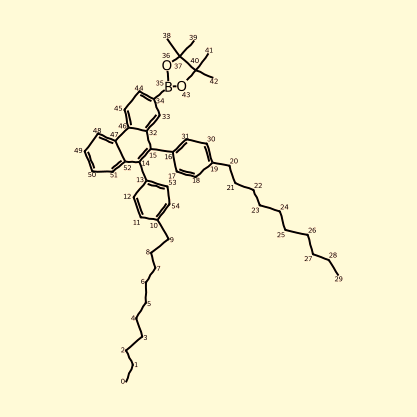 CCCCCCCCCCc1ccc(-c2c(-c3ccc(CCCCCCCCCC)cc3)c3cc(B4OC(C)(C)C(C)(C)O4)ccc3c3ccccc23)cc1